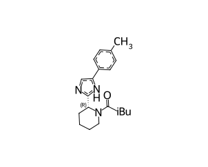 CCC(C)C(=O)N1CCCC[C@@H]1c1ncc(-c2ccc(C)cc2)[nH]1